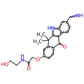 CC1(C)c2cc(OCC(=O)NCCO)ccc2C(=O)c2c1[nH]c1cc(C=N)ccc21